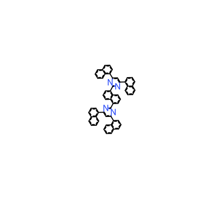 c1ccc2c(-c3cc(-c4cccc5ccccc45)nc(-c4cccc5c(-c6nc(-c7cccc8ccccc78)cc(-c7cccc8ccccc78)n6)cccc45)n3)cccc2c1